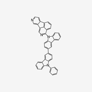 c1ccc(-n2c3ccccc3c3cc(-c4ccc5c(c4)c4ccccc4n5-c4ncc5c6c(cccc46)-c4ccncc4-5)ccc32)cc1